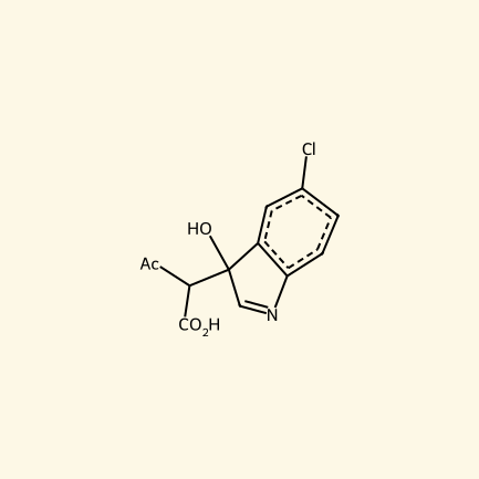 CC(=O)C(C(=O)O)C1(O)C=Nc2ccc(Cl)cc21